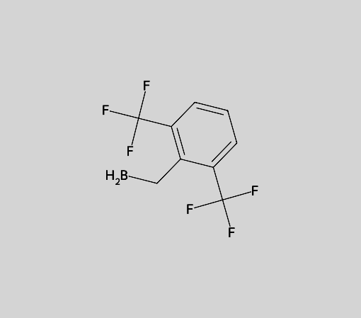 BCc1c(C(F)(F)F)cccc1C(F)(F)F